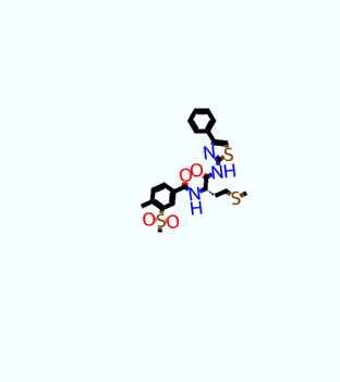 CSCC[C@H](NC(=O)c1ccc(C)c(S(C)(=O)=O)c1)C(=O)Nc1nc(-c2ccccc2)cs1